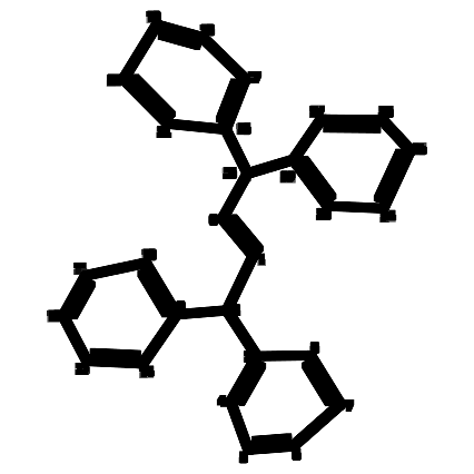 C(=CC(c1ccccc1)c1ccccc1)[C](c1ccccc1)c1ccccc1